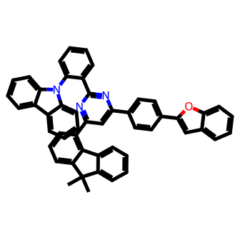 CC1(C)c2ccccc2-c2c(-c3cc(-c4ccc(-c5cc6ccccc6o5)cc4)nc(-c4ccccc4-n4c5ccccc5c5ccccc54)n3)cccc21